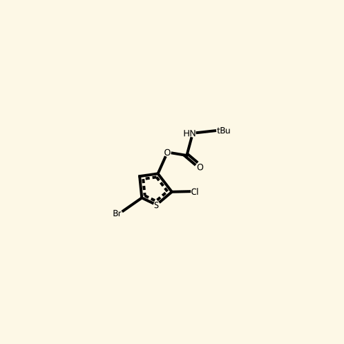 CC(C)(C)NC(=O)Oc1cc(Br)sc1Cl